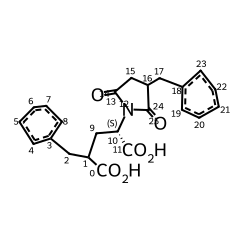 O=C(O)C(Cc1ccccc1)C[C@@H](C(=O)O)N1C(=O)CC(Cc2ccccc2)C1=O